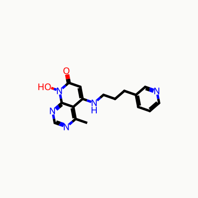 Cc1ncnc2c1c(NCCCc1cccnc1)cc(=O)n2O